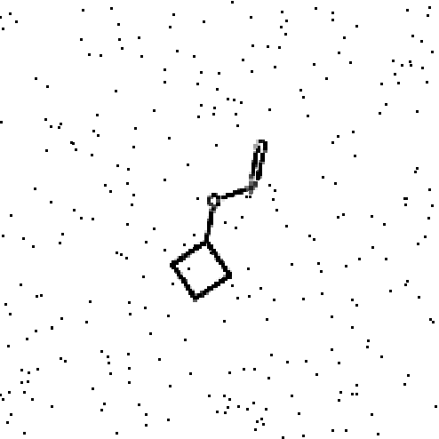 O=POC1CCC1